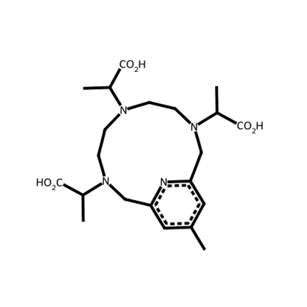 Cc1cc2nc(c1)CN(C(C)C(=O)O)CCN(C(C)C(=O)O)CCN(C(C)C(=O)O)C2